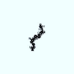 COc1nc(O[C@H]2CCc3c(-c4cccc(-c5nc6cc7c(c(C#N)c6o5)CC[C@H]7N5CC[C@@H](C(=O)NS(=O)(=O)C6CC6)C5)c4Cl)cccc32)c(Cl)cc1CNC[C@H]1CCC(=O)N1